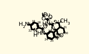 C[C@H]1SC(NC(=O)OC(C)(C)C)=NC2(c3cc(NC(=O)C4=CC=C(N)CN4)ccc3F)COCCC12